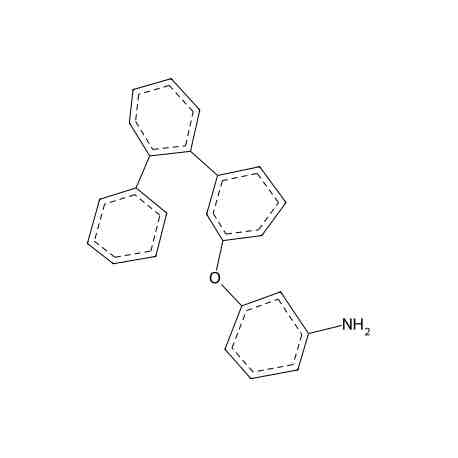 Nc1cccc(Oc2cccc(-c3ccccc3-c3ccccc3)c2)c1